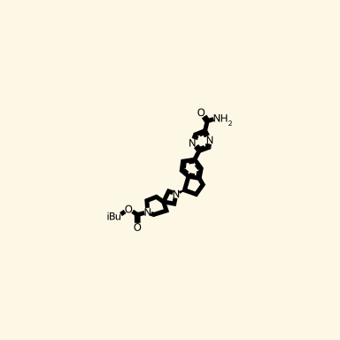 CCC(C)OC(=O)N1CCC2(CC1)CN([C@@H]1CCc3cc(-c4cnc(C(N)=O)cn4)ccc31)C2